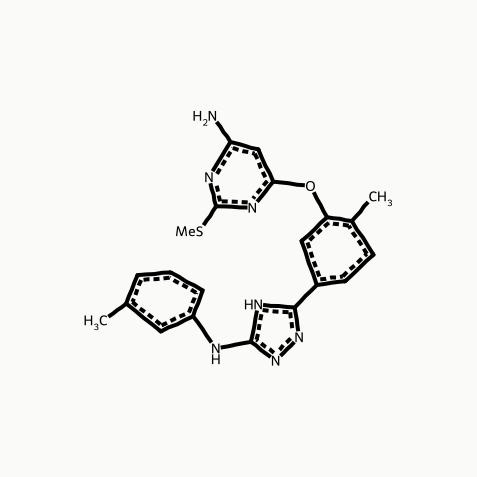 CSc1nc(N)cc(Oc2cc(-c3nnc(Nc4cccc(C)c4)[nH]3)ccc2C)n1